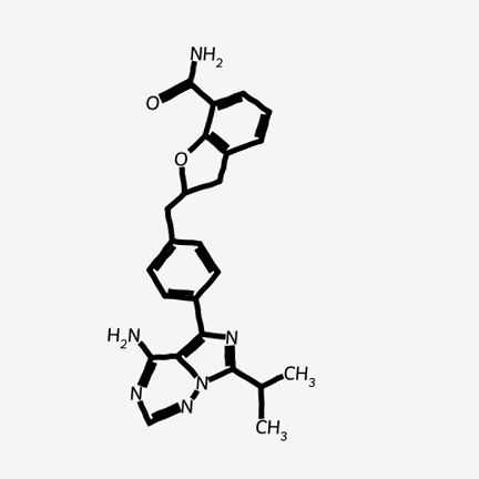 CC(C)c1nc(-c2ccc(CC3Cc4cccc(C(N)=O)c4O3)cc2)c2c(N)ncnn12